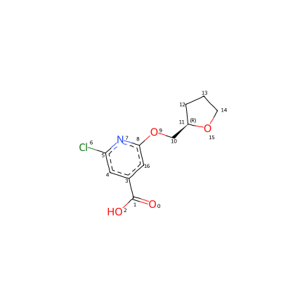 O=C(O)c1cc(Cl)nc(OC[C@H]2CCCO2)c1